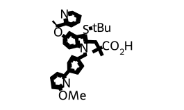 COc1cccc(-c2ccc(Cn3c(CC(C)(C)C(=O)O)c(SC(C)(C)C)c4cc(O[C@@H](C)c5ccccn5)ccc43)cc2)n1